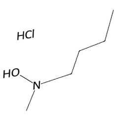 CCCCN(C)O.Cl